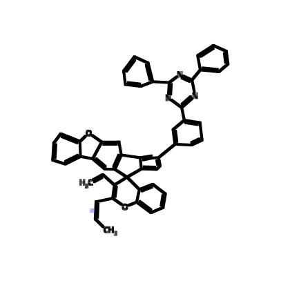 C=CC1=C(/C=C\C)Oc2ccccc2C12c1ccc(-c3cccc(-c4nc(-c5ccccc5)nc(-c5ccccc5)n4)c3)cc1-c1cc3oc4ccccc4c3cc12